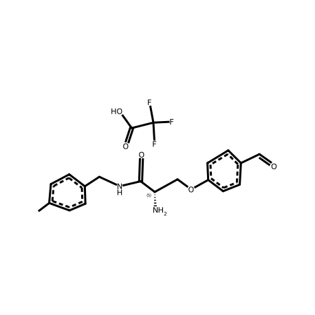 Cc1ccc(CNC(=O)[C@@H](N)COc2ccc(C=O)cc2)cc1.O=C(O)C(F)(F)F